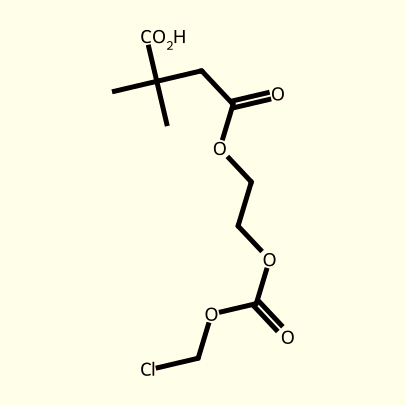 CC(C)(CC(=O)OCCOC(=O)OCCl)C(=O)O